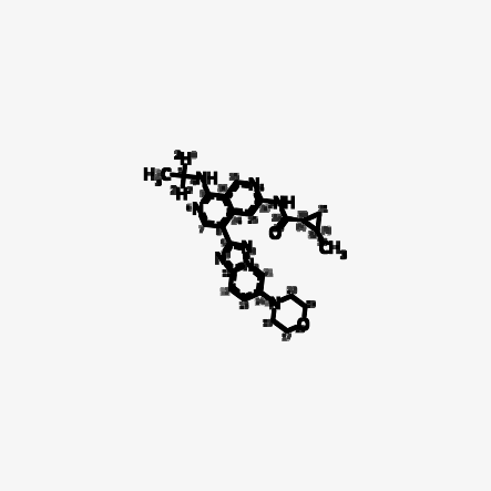 [2H]C([2H])(C)Nc1ncc(-c2nc3ccc(N4CCOCC4)cn3n2)c2cc(NC(=O)[C@H]3C[C@H]3C)ncc12